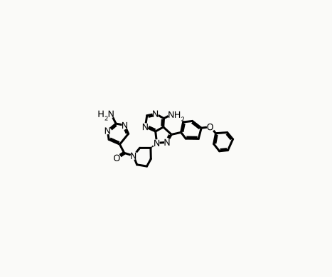 Nc1ncc(C(=O)N2CCC[C@@H](n3nc(-c4ccc(Oc5ccccc5)cc4)c4c(N)ncnc43)C2)cn1